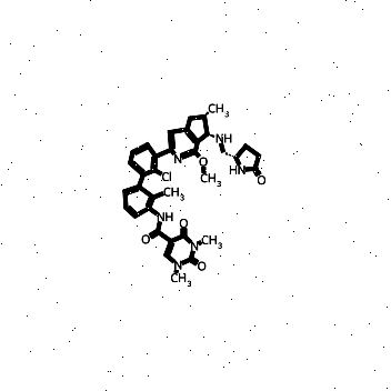 COc1nc(-c2cccc(-c3cccc(NC(=O)c4cn(C)c(=O)n(C)c4=O)c3C)c2Cl)cc2c1[C@@H](NC[C@@H]1CCC(=O)N1)[C@@H](C)C2